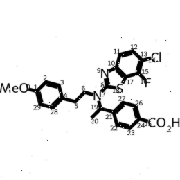 COc1ccc(CCN(c2nc3ccc(Cl)c(F)c3s2)C(C)c2ccc(C(=O)O)cc2)cc1